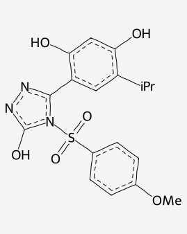 COc1ccc(S(=O)(=O)n2c(O)nnc2-c2cc(C(C)C)c(O)cc2O)cc1